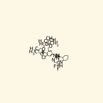 CC1(C)COB(c2c(Cl)cc(Nc3ncc(C(F)(F)F)c(NC4CCCCC4C#N)n3)cc2CO[Si](C)(C)C(C)(C)C)OC1